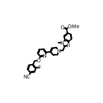 COC(=O)c1ccc2nc(CN3CC=C(c4cccc(OCc5ccc(C#N)cc5F)n4)CC3)n(C)c2c1